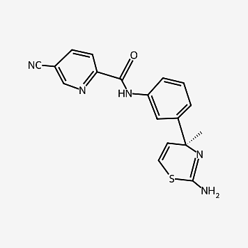 C[C@@]1(c2cccc(NC(=O)c3ccc(C#N)cn3)c2)C=CSC(N)=N1